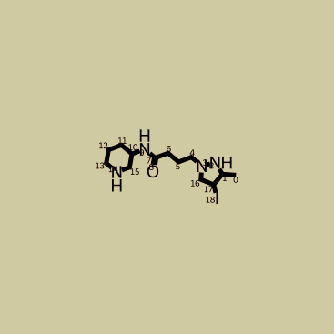 CC1NN(CCCC(=O)NC2CCCNC2)CC1I